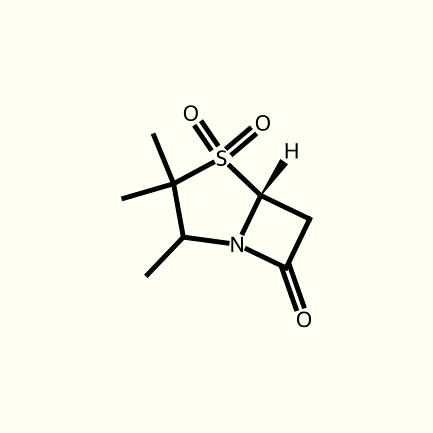 CC1N2C(=O)C[C@H]2S(=O)(=O)C1(C)C